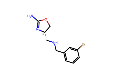 NC1=N[C@@H](CNCc2cccc(Br)c2)CO1